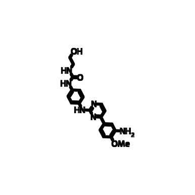 COc1ccc(-c2ccnc(Nc3ccc(NC(=O)NCCO)cc3)n2)cc1N